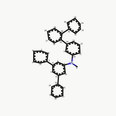 CN(c1cc(-c2ccccc2)cc(-c2ccccc2)c1)c1cccc(-c2ccccc2-c2ccccc2)c1